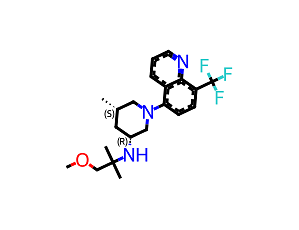 COCC(C)(C)N[C@@H]1C[C@H](C)CN(c2ccc(C(F)(F)F)c3ncccc23)C1